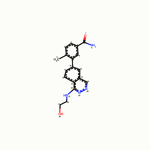 Cc1ccc(C(N)=O)cc1-c1ccc2c(NCCO)nncc2c1